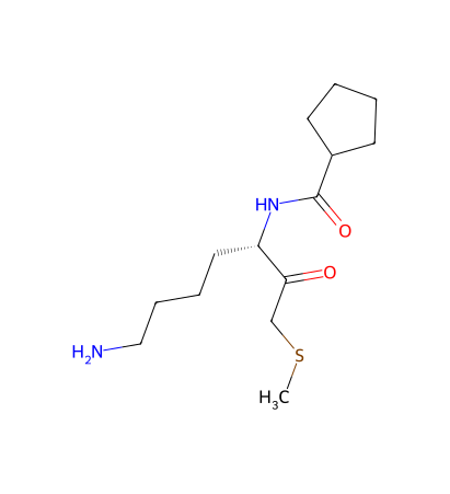 CSCC(=O)[C@H](CCCCN)NC(=O)C1CCCC1